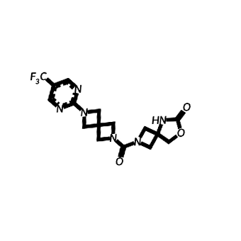 O=C1NC2(CO1)CN(C(=O)N1CC3(C1)CN(c1ncc(C(F)(F)F)cn1)C3)C2